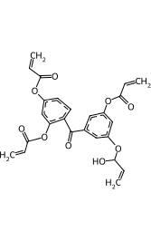 C=CC(=O)Oc1cc(OC(O)C=C)cc(C(=O)c2ccc(OC(=O)C=C)cc2OC(=O)C=C)c1